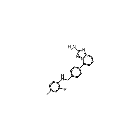 Cc1ccc(NCc2ccc(-c3cccc4nc(N)nn34)cc2)c(F)c1